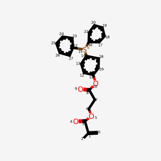 C=C(C)C(=O)OCCC(=O)Oc1ccc([S+](c2ccccc2)c2ccccc2)cc1